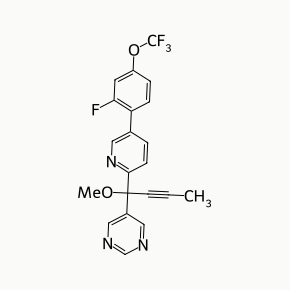 CC#CC(OC)(c1cncnc1)c1ccc(-c2ccc(OC(F)(F)F)cc2F)cn1